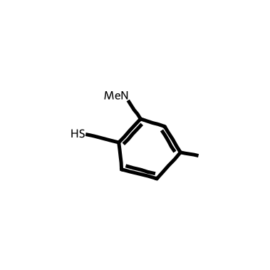 CNc1cc(C)ccc1S